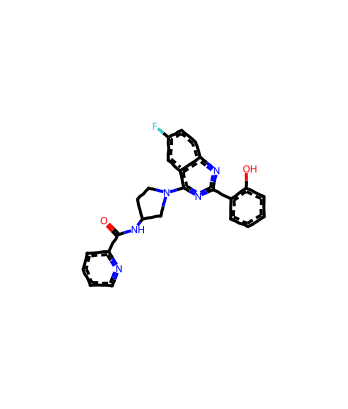 O=C(NC1CCN(c2nc(-c3ccccc3O)nc3ccc(F)cc23)C1)c1ccccn1